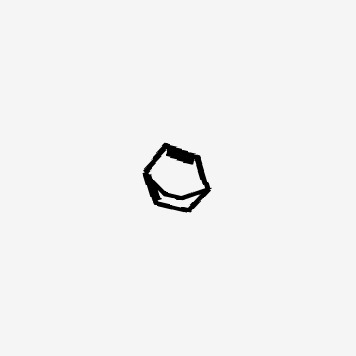 C1=CC2CC=C1CC2